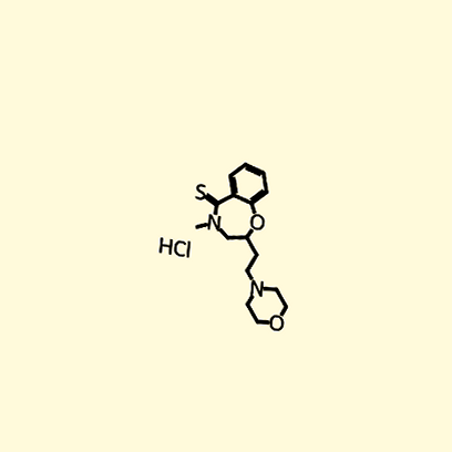 CN1CC(CCN2CCOCC2)Oc2ccccc2C1=S.Cl